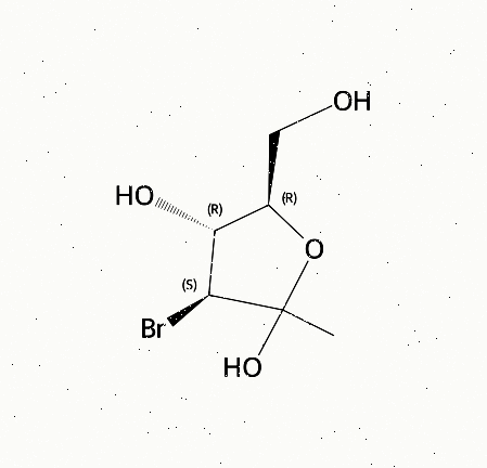 CC1(O)O[C@H](CO)[C@@H](O)[C@@H]1Br